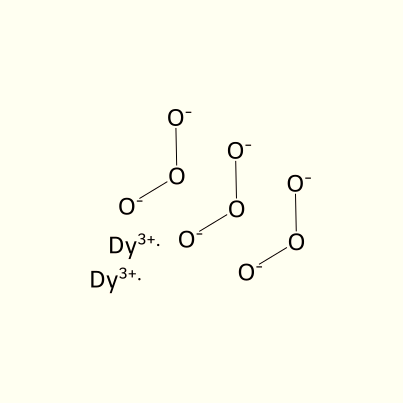 [Dy+3].[Dy+3].[O-]O[O-].[O-]O[O-].[O-]O[O-]